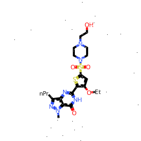 CCCc1nn(C)c2c(=O)[nH]c(-c3sc(S(=O)(=O)N4CCN(CCO)CC4)cc3OCC)nc12